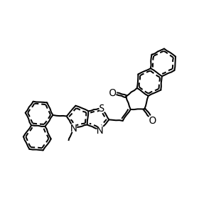 Cn1c(-c2cccc3ccccc23)cc2sc(C=C3C(=O)c4cc5ccccc5cc4C3=O)nc21